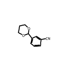 N#Cc1cccc(C2OCCCO2)c1